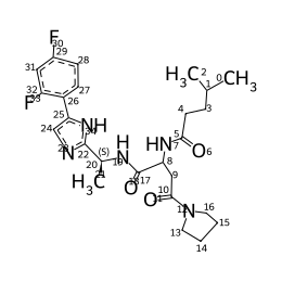 CC(C)CCC(=O)NC(CC(=O)N1CCCC1)C(=O)N[C@@H](C)c1ncc(-c2ccc(F)cc2F)[nH]1